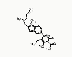 CCc1c(-c2ccc3c(c2)cc(CN(C)CCOC)n3C)[nH]c(=O)c(C(=O)O)c1O